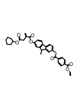 C=COC(=O)c1ccc(C(=O)Sc2ccc3c(c2)C(C)c2cc(OC(=O)C(=C)CC(=O)OC4CCCCC4)ccc2-3)cc1